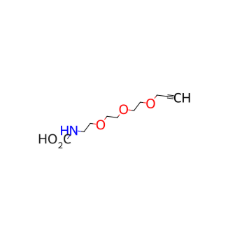 C#CCOCCOCCOCCNC(=O)O